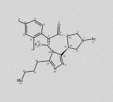 CC(=O)N1C[C@@H](C(=O)Nc2ccc(C)cc2C)[C@H](c2nnc(CCCC(C)(C)C)n2CC(F)(F)F)C1